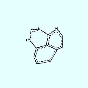 C1=Nc2nccc3cccc(c23)N1